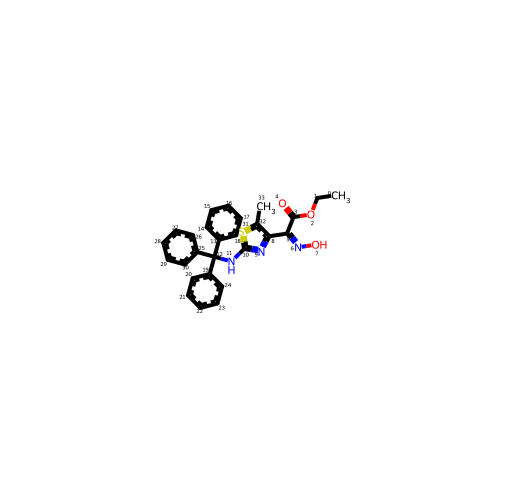 CCOC(=O)C(=NO)c1nc(NC(c2ccccc2)(c2ccccc2)c2ccccc2)sc1C